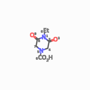 CCN1C(=O)CN(C(=O)O)CC1=O